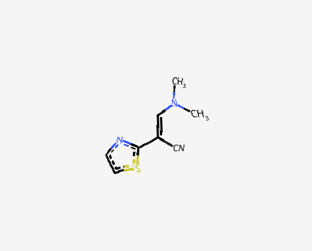 CN(C)C=C(C#N)c1nccs1